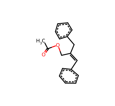 CC(=O)OC/C(=C\c1ccccc1)Cc1ccccc1